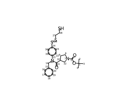 CC(C)(C)OC(=O)N1CCC(C(=O)N(Cc2ccccc2)c2ccc(SSCCS)cc2)C1